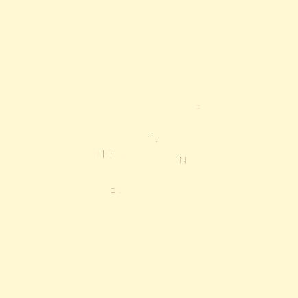 CC[C@@H](Cc1ncc(F)cn1)S(=O)(=O)O